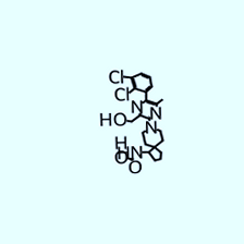 Cc1nc(N2CCC3(CCCC3NC(=O)O)CC2)c(CO)nc1-c1cccc(Cl)c1Cl